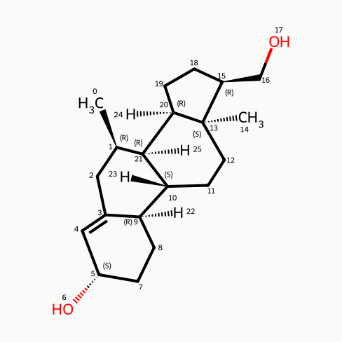 C[C@@H]1CC2=C[C@@H](O)CC[C@@H]2[C@H]2CC[C@]3(C)[C@H](CO)CC[C@@H]3[C@@H]21